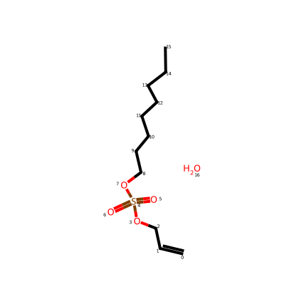 C=CCOS(=O)(=O)OCCCCCCCC.O